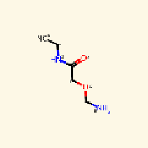 N#CCNC(=O)COCN